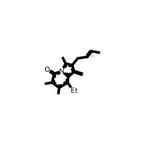 C=c1c(C/C=C/C)c(C)n2c(=O)c(C)c(C)c(CC)c12